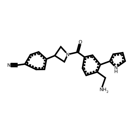 N#Cc1ccc(C2CN(C(=O)c3ccc(CN)c(-c4ccc[nH]4)c3)C2)cc1